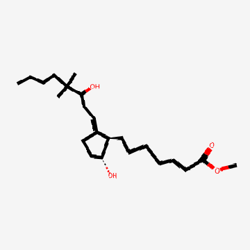 CCCCC(C)(C)C(O)CC=C1CC[C@@H](O)[C@@H]1CCCCCCC(=O)OC